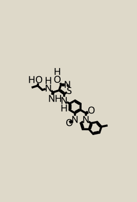 Cc1ccc2ccn(C(=O)c3ccc(Nc4snc(O)c4C(=N)NCC(C)O)cc3N=O)c2c1